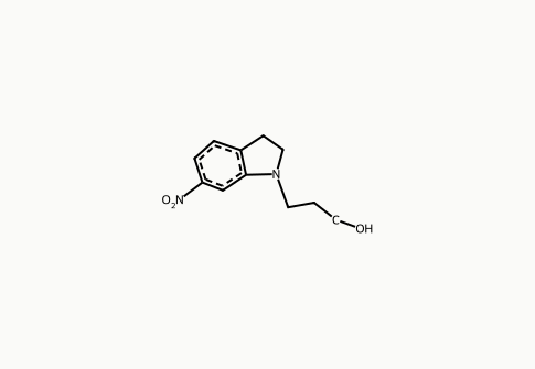 O=[N+]([O-])c1ccc2c(c1)N(CCCO)CC2